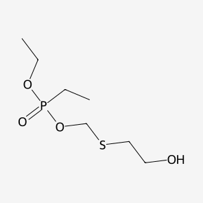 CCOP(=O)(CC)OCSCCO